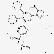 Cc1cc2ncc3c(-c4ccccc4)c(-c4ccccc4)c(-c4ccc([C@]5(N)C[C@](C)(O)C5)cc4)nc3n2n1